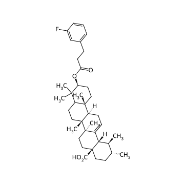 C[C@H]1[C@H](C)CC[C@]2(C(=O)O)CC[C@]3(C)C(=CC[C@@H]4[C@@]5(C)CC[C@H](OC(=O)CCc6cccc(F)c6)C(C)(C)C5CC[C@]43C)[C@H]12